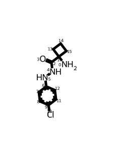 NC1(C(=O)NNc2ccc(Cl)cc2)CCC1